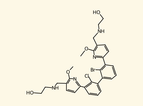 COc1nc(-c2cccc(-c3cccc(-c4ccc(CNCCO)c(OC)n4)c3Br)c2Cl)ccc1CNCCO